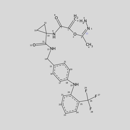 C=C(O/C(C)=N\N)C(=O)NC1(C(=O)NCc2ccc(Nc3ccccc3C(F)(F)F)cc2)CC1